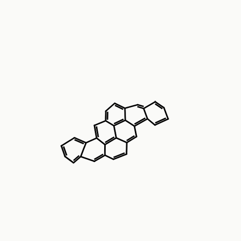 [c]1cccc2c1cc1ccc3cc4c5ccccc5cc5ccc6cc2c1c3c6c54